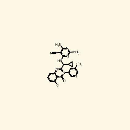 Cc1cncc(-n2c(C(Nc3nc(N)nc(N)c3C#N)C3CC3)nc3cccc(Cl)c3c2=O)c1